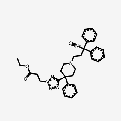 [C-]#[N+]C(CCN1CCC(c2ccccc2)(c2nnn(CCC(=O)OCC)n2)CC1)(c1ccccc1)c1ccccc1